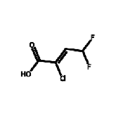 O=C(O)/C(Cl)=C/C(F)F